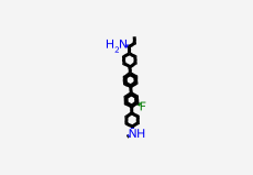 CCC(N)C1CCC(c2ccc(-c3ccc(C4CCC(NC)CC4)c(F)c3)cc2)CC1